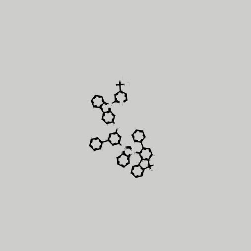 CC(C)(C)c1ccnc(-n2c3ccccc3c3ccc(Oc4cc(-c5ccccc5)cc(-n5c[n+](-c6c(-c7ccccc7)ccc7c6-c6ccccc6C7(C)C)c6ccccc65)c4)cc32)c1